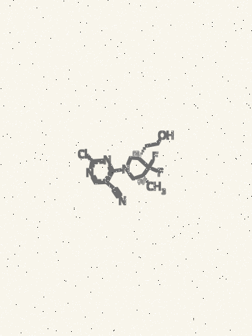 C[C@@H]1CN(c2nc(Cl)ncc2C#N)C[C@H](CCO)C1(F)F